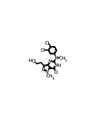 CN(c1ccc(Cl)c(Cl)c1)c1nc2c(CCO)nn(C)c2c(=O)[nH]1